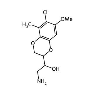 COc1cc2c(c(C)c1Cl)OCC(C(O)CN)O2